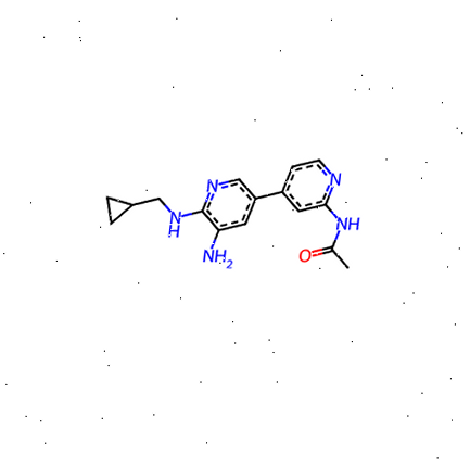 CC(=O)Nc1cc(-c2cnc(NCC3CC3)c(N)c2)ccn1